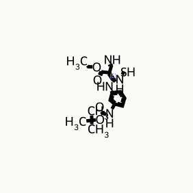 CCOC(=O)/C(C=N)=C(/NS)Nc1cccc(NC(=O)OC(C)(C)C)c1